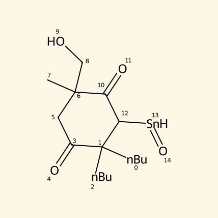 CCCCC1(CCCC)C(=O)CC(C)(CO)C(=O)[CH]1[SnH]=[O]